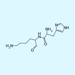 NCCCCC([C]=O)NC(=O)C(N)Cc1c[nH]cn1